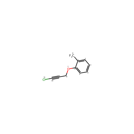 FC(F)(F)c1ccccc1OCC#CCl